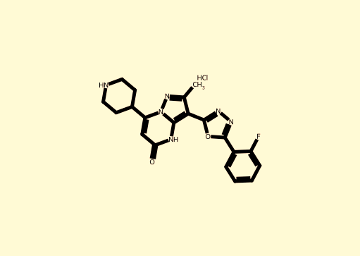 Cc1nn2c(C3CCNCC3)cc(=O)[nH]c2c1-c1nnc(-c2ccccc2F)o1.Cl